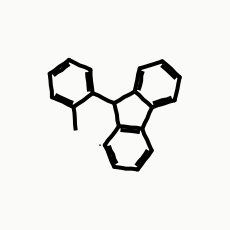 Cc1ccccc1C1c2[c]cccc2-c2ccccc21